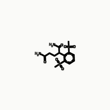 CS(=O)(=O)c1cccc(S(C)(=O)=O)c1C(CCC(N)=O)C(N)=O